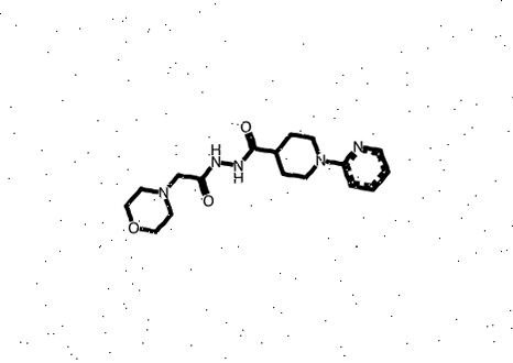 O=C(CN1CCOCC1)NNC(=O)C1CCN(c2ccccn2)CC1